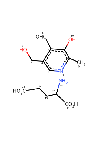 Cc1ncc(CO)c(C=O)c1O.NC(CCC(=O)O)C(=O)O